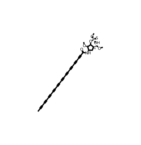 CC#CC#CC#CC#CC#CC#CC#CC#CC#CC#CC(=O)N[C@@H]1C[C@H](COC)C(OP(O)(=S)OC)[C@@H]1OC